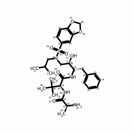 CC(C)CN(C[C@@H](O)[C@H](Cc1ccccc1)NC(=O)[C@@H](NC(=O)[C@H](C)N)C(C)(C)C)S(=O)(=O)c1ccc2c(c1)OCO2